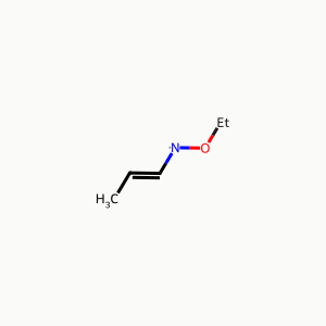 CC=C[N]OCC